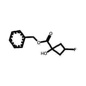 O=C(OCc1ccccc1)C1(O)CC(F)C1